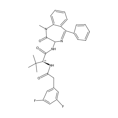 CN1C(=O)C(NC(=O)[C@@H](NC(=O)Cc2cc(F)cc(F)c2)C(C)(C)C)N=C(c2ccccc2)c2ccccc21